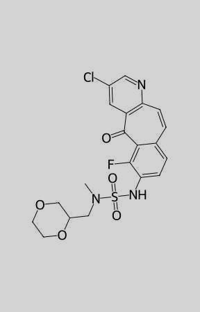 CN(CC1COCCO1)S(=O)(=O)Nc1ccc2ccc3ncc(Cl)cc3c(=O)c2c1F